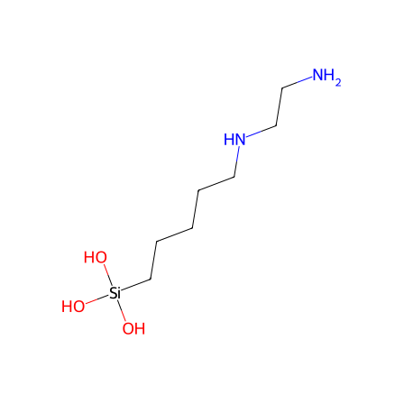 NCCNCCCCC[Si](O)(O)O